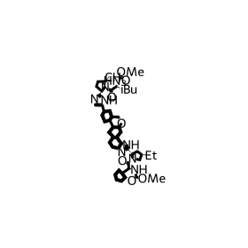 CC[C@H]1C[C@@H](c2nc3ccc4cc5c(cc4c3[nH]2)OCc2cc(-c3cnc([C@@H]4CC[C@H](C)N4C(=O)[C@@H](NC(=O)OC)[C@@H](C)CC)[nH]3)ccc2-5)N(C(=O)[C@H](NC(=O)OC)c2ccccc2)C1